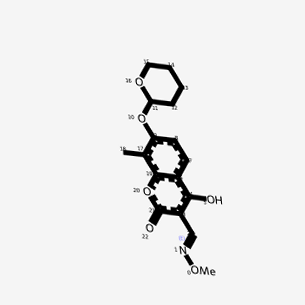 CO/N=C/c1c(O)c2ccc(OC3CCCCO3)c(C)c2oc1=O